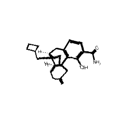 C=C1CC[C@H]2[C@H]3Cc4ccc(C(N)=O)c(O)c4C2(CCC3CC2CCC2)C1